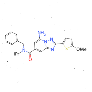 COc1ccc(-c2nc3cc(C(=O)N(Cc4ccccc4)C(C)C)cc(N)n3n2)s1